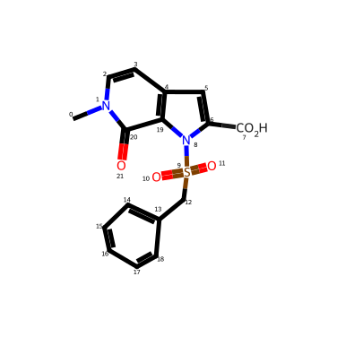 Cn1ccc2cc(C(=O)O)n(S(=O)(=O)Cc3ccccc3)c2c1=O